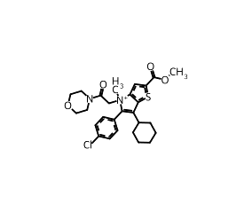 COC(=O)c1cc2c(s1)C(C1CCCCC1)=C(c1ccc(Cl)cc1)[N+]2(C)CC(=O)N1CCOCC1